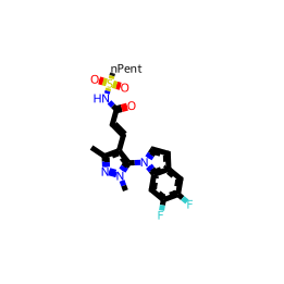 CCCCCS(=O)(=O)NC(=O)C=Cc1c(C)nn(C)c1-n1ccc2cc(F)c(F)cc21